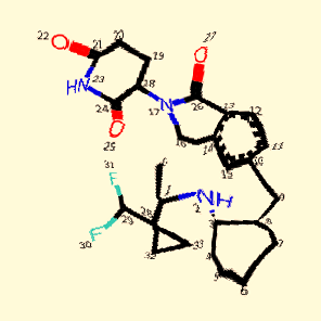 CC(N[C@H]1CCCC[C@@H]1Cc1ccc2c(c1)CN(C1CCC(=O)NC1=O)C2=O)C1(C(F)F)CC1